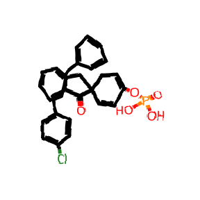 O=C(C(Cc1ccccc1)Cc1ccc(Cl)cc1)C1(Cc2ccccc2)C=CC(OP(=O)(O)O)=CC1